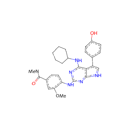 CNC(=O)c1ccc(Nc2nc(NC3CCCCC3)c3c(-c4ccc(O)cc4)c[nH]c3n2)c(OC)c1